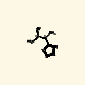 CCC[C@H](C(=O)O)[C@H](C)c1nnn[nH]1